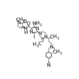 CC[C@H]1CN(c2nc(N)c(C(=O)N[C@H]3CCN(C)C3=O)nc2I)CCN1C(C)CCN(CC)Cc1ccc(C#N)cc1